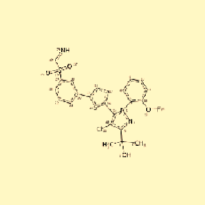 CC(C)(O)c1nn(-c2ccccc2OF)c(-c2ccc(-c3cccc(S(=O)(=O)C=N)c3)s2)c1Cl